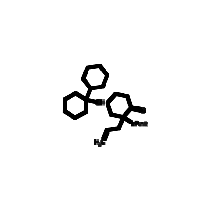 C=CCC1(CCCCC)CCCCC1=O.OC1(C2CCCCC2)CCCCC1